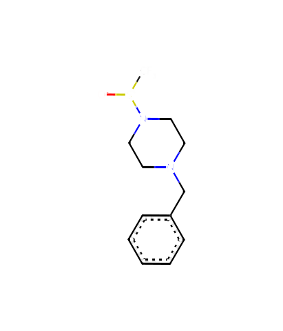 [O-][S+](N1CCN(Cc2ccccc2)CC1)C(F)(F)F